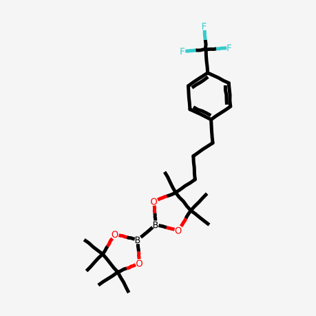 CC1(C)OB(B2OC(C)(C)C(C)(CCCc3ccc(C(F)(F)F)cc3)O2)OC1(C)C